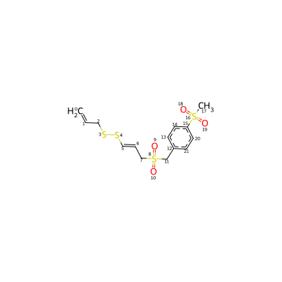 C=CCSSC=CCS(=O)(=O)Cc1ccc(S(C)(=O)=O)cc1